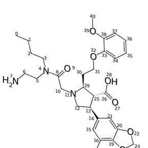 CCCCN(CCN)C(=O)CN1C[C@H](c2cc(OC)c3c(c2)OCO3)[C@@H](C(=O)O)[C@@H]1CCOc1ccccc1OC